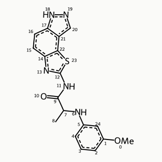 COc1cccc(NC(C)C(=O)Nc2nc3ccc4[nH]ncc4c3s2)c1